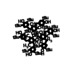 Cc1c(Cc2cc(C(C)(C)C)c(O)c(C(C)(C)C)c2)c(C)c(OP(Oc2c(C)c(Cc3cc(C(C)(C)C)c(O)c(C(C)(C)C)c3)c(C)c(Cc3cc(C(C)(C)C)c(O)c(C(C)(C)C)c3)c2C)Oc2c(C)c(Cc3cc(C(C)(C)C)c(O)c(C(C)(C)C)c3)c(C)c(Cc3cc(C(C)(C)C)c(O)c(C(C)(C)C)c3)c2C)c(C)c1Cc1cc(C(C)(C)C)c(O)c(C(C)(C)C)c1